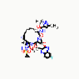 CCc1nc2ccc(F)cc2nc1O[C@@H]1C[C@H]2C(=O)N[C@]3(C(=O)NS(=O)(=O)C4CC4)C[C@H]3/C=C\CCCCC[C@H](NC(=O)c3cc(C)nn3C)C(=O)N2C1